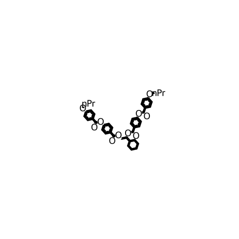 CCCOc1ccc(C(=O)Oc2ccc(C(=O)OCC(OC(=O)c3ccc(OC(=O)c4ccc(OCCC)cc4)cc3)C3CCCCC3)cc2)cc1